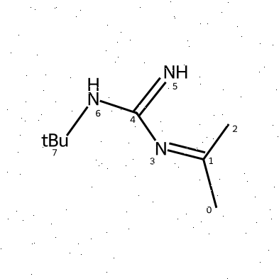 CC(C)=NC(=N)NC(C)(C)C